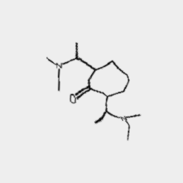 CC(C1CCCC(C(C)N(C)C)C1=O)N(C)C